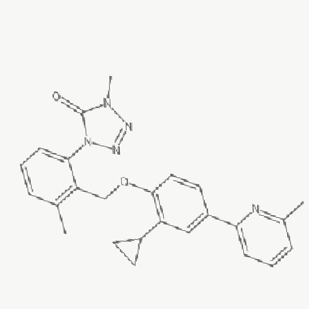 Cc1cccc(-c2ccc(OCc3c(C)cccc3-n3nnn(C)c3=O)c(C3CC3)c2)n1